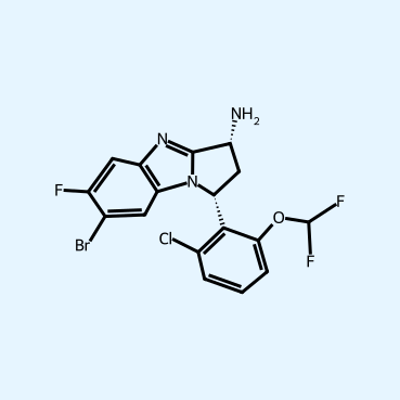 N[C@@H]1C[C@H](c2c(Cl)cccc2OC(F)F)n2c1nc1cc(F)c(Br)cc12